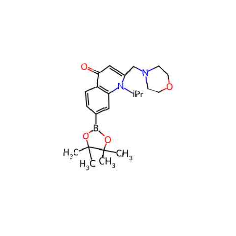 CC(C)n1c(CN2CCOCC2)cc(=O)c2ccc(B3OC(C)(C)C(C)(C)O3)cc21